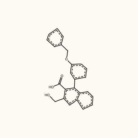 O=C(O)c1c(CO)cc2ccccc2c1-c1cccc(OCc2ccccc2)c1